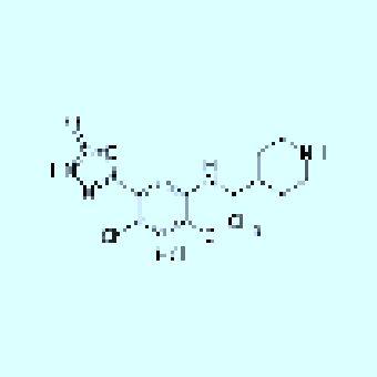 C[C@H](Nc1cc(-c2n[nH]c(=O)o2)c(Cl)cc1Cl)C1CCNCC1.Cl